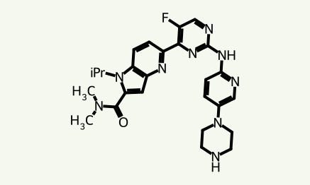 CC(C)n1c(C(=O)N(C)C)cc2nc(-c3nc(Nc4ccc(N5CCNCC5)cn4)ncc3F)ccc21